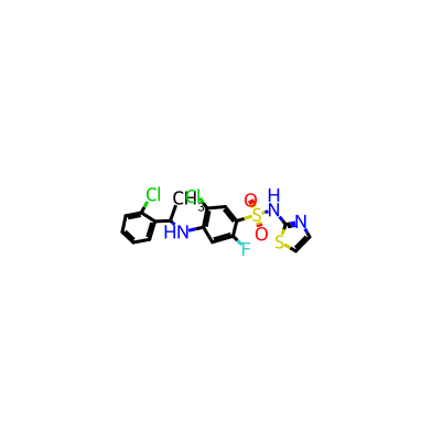 CC(Nc1cc(F)c(S(=O)(=O)Nc2nccs2)cc1Cl)c1ccccc1Cl